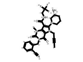 CC#CCn1c(N2CCC[C@@H](N)C2)c(C(=O)NCC(F)(F)F)c2c1c(=O)n(Cc1ccccc1C#N)c(=O)n2C